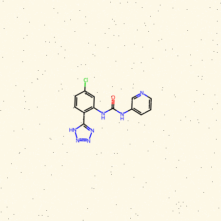 O=C(Nc1cccnc1)Nc1cc(Cl)ccc1-c1nnn[nH]1